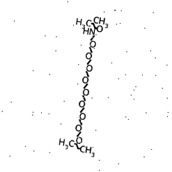 CC[C@@H](C)OCCOCCOCCOCCOCCOCCOCCOCCOCCNC(=O)C(C)C